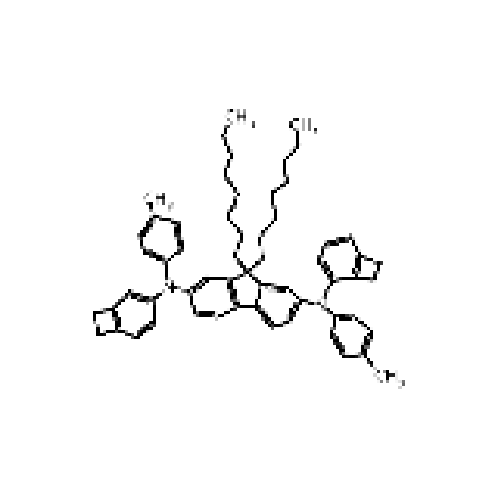 CCCCCCCCC1(CCCCCCCC)c2cc(N(c3ccc(C)cc3)c3ccc4c(c3)CC4)ccc2-c2ccc(N(c3ccc(C)cc3)c3cccc4c3CC4)cc21